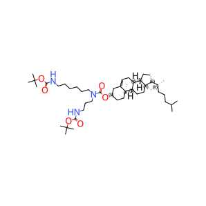 CC(C)CCC[C@@H](C)[C@H]1CC[C@H]2[C@@H]3CC=C4C[C@@H](OC(=O)N(CCCCCCNC(=O)OC(C)(C)C)CCCNC(=O)OC(C)(C)C)CC[C@]4(C)[C@H]3CC[C@]12C